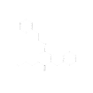 N#CCCNC(=O)C(Cc1ccccc1)NC(=O)NCCc1ccccc1